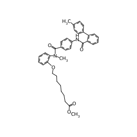 COC(=O)CCCCCCCOc1ccccc1N(C)C(=O)c1ccc(NC(=O)c2ccccc2-c2ccc(C)cc2)cc1